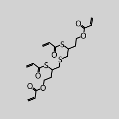 C=CC(=O)OCCC(CSCC(CCOC(=O)C=C)SC(=O)C=C)SC(=O)C=C